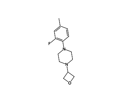 Cc1ccc(N2CCN(C3COC3)CC2)c(F)c1